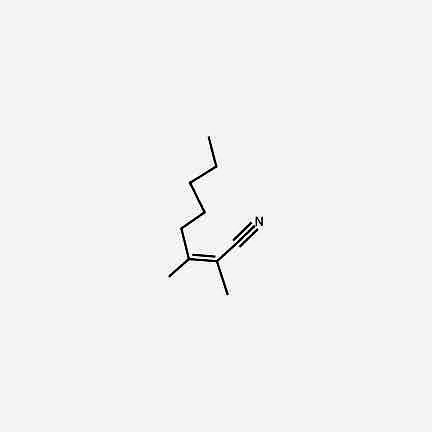 CCCCCC(C)=C(C)C#N